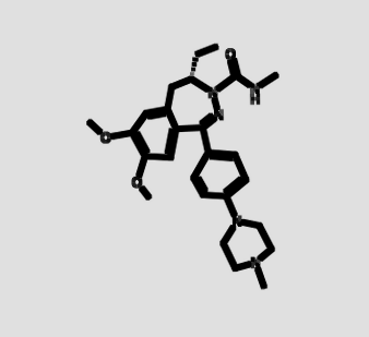 CC[C@H]1Cc2cc(OC)c(OC)cc2C(c2ccc(N3CCN(C)CC3)cc2)=NN1C(=O)NC